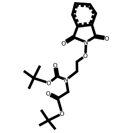 CC(C)(C)OC(=O)CN(CCON1C(=O)c2ccccc2C1=O)C(=O)OC(C)(C)C